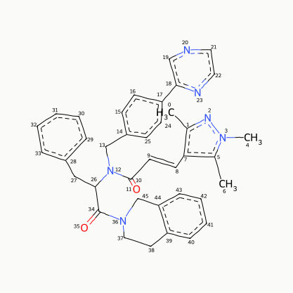 Cc1nn(C)c(C)c1C=CC(=O)N(Cc1ccc(-c2cnccn2)cc1)C(Cc1ccccc1)C(=O)N1CCc2ccccc2C1